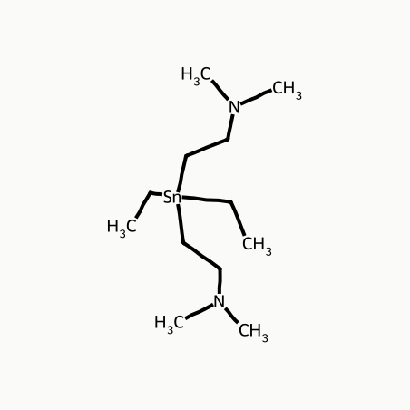 C[CH2][Sn]([CH2]C)([CH2]CN(C)C)[CH2]CN(C)C